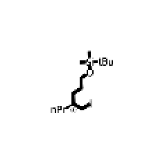 CCC[C@H](CI)CCCO[Si](C)(C)C(C)(C)C